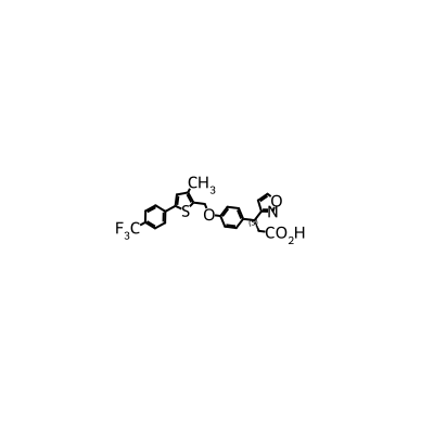 Cc1cc(-c2ccc(C(F)(F)F)cc2)sc1COc1ccc([C@H](CC(=O)O)c2ccon2)cc1